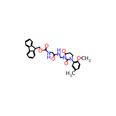 COc1ccc(C)cc1N1CCC(=O)N(CNC(=O)CNC(=O)OCC2c3ccccc3-c3ccccc32)C1=O